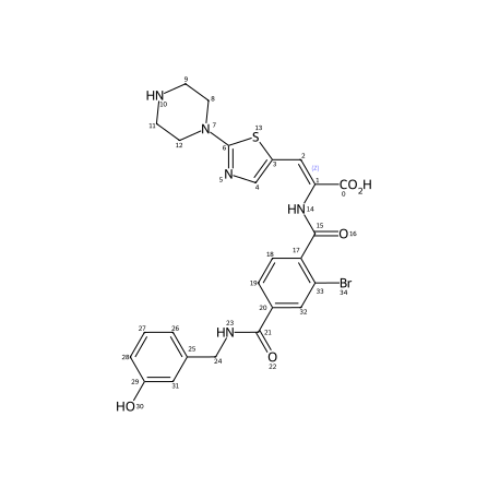 O=C(O)/C(=C/c1cnc(N2CCNCC2)s1)NC(=O)c1ccc(C(=O)NCc2cccc(O)c2)cc1Br